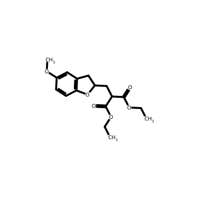 CCOC(=O)C(CC1Cc2cc(OC)ccc2O1)C(=O)OCC